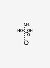 CCCC(O)C(CCCc1ccccc1)C(=O)O